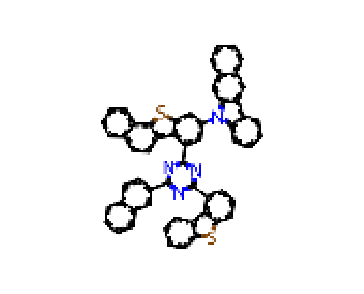 c1ccc2cc(-c3nc(-c4cccc5sc6ccccc6c45)nc(-c4cc(-n5c6ccccc6c6cc7ccccc7cc65)cc5sc6c7ccccc7ccc6c45)n3)ccc2c1